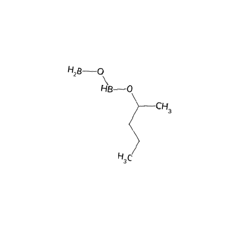 BOBOC(C)CCC